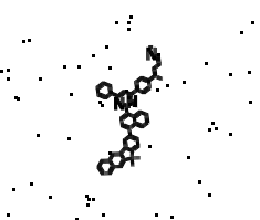 C=N/C=C\C=C(/C)c1ccc(-c2cc(-c3ccccc3)nc(-c3ccc(-c4ccc5c(c4)-c4cc6ccccc6cc4C5(C)C)c4ccccc34)n2)cc1